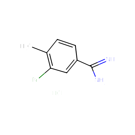 Cc1ccc(C(=N)N)cc1Br.Cl